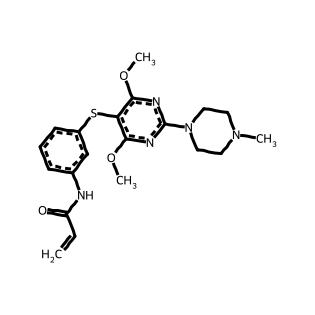 C=CC(=O)Nc1cccc(Sc2c(OC)nc(N3CCN(C)CC3)nc2OC)c1